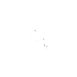 CN1CCCC(Oc2ccc3c4c(ccc3c2)CCN(CC2CCCCC2)C4)CC1